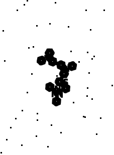 c1ccc(-c2nc(-c3ccccc3)nc(-c3cccc4sc5c(-c6ccc7c(c6)c6cc(-c8ccc9c(c8)c8ccccc8n9-c8ccccc8)ccc6n7-c6ccccc6)cccc5c34)n2)cc1